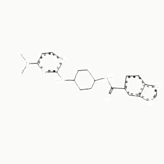 CN(C)c1ccnc(NC2CCC(NC(=O)c3ccc4ncsc4c3)CC2)n1